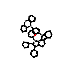 c1ccc(-c2c(-c3ccccc3)n(-c3ccccc3)c3c2ccc2c4ccccc4n(-c4ccc(N5c6ccccc6Sc6ccccc65)cc4)c23)cc1